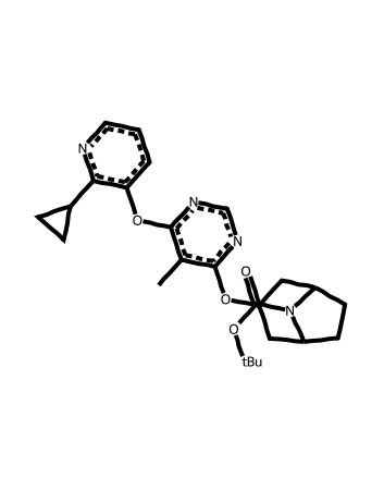 Cc1c(Oc2cccnc2C2CC2)ncnc1OC1CC2CCC(C1)N2C(=O)OC(C)(C)C